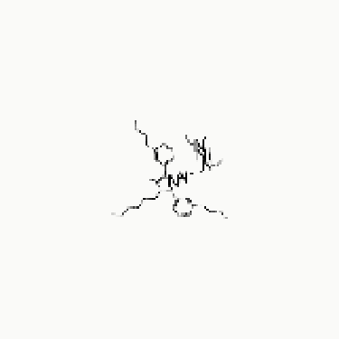 CCCCCCC1=C(c2cccc(CCCC)c2)[N+](=[N-])C(c2cccc(CCCC)c2)=C1C.CC[N](C)[Ni][N](C)CC